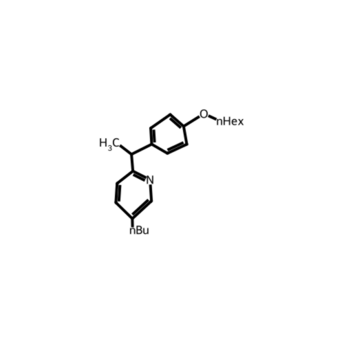 CCCCCCOc1ccc(C(C)c2ccc(CCCC)cn2)cc1